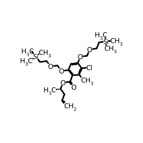 C=CC[C@@H](C)OC(=O)c1c(OCOCC[Si](C)(C)C)cc(OCOCC[Si](C)(C)C)c(Cl)c1C